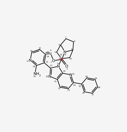 CC(C)(C)OC(=O)N1C2CCC1CN(n1c(-c3cccnc3N)nc3ccc(-c4ccccc4)nc31)C2